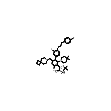 CC1(C)CCN(c2c(-c3ccc(OCCc4ccc(F)cc4)c(F)c3)c(CN3CCC4(CCC4)CC3)nc(Cl)c2[C@H](OC(C)(C)C)C(=O)O)CC1